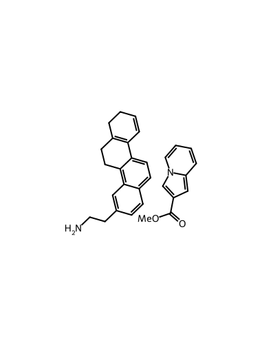 COC(=O)c1cc2ccccn2c1.NCCc1ccc2ccc3c(c2c1)CCC1=C3C=CCC1